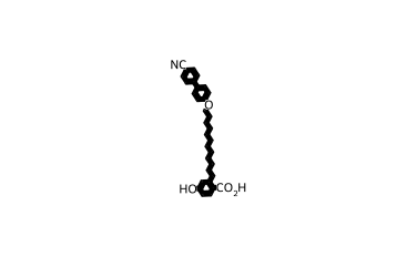 N#Cc1ccc(-c2ccc(OCCCCCCCCCCCCc3cc(O)ccc3C(=O)O)cc2)cc1